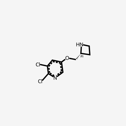 Clc1cc(OC[C@H]2CCN2)cnc1Cl